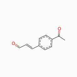 CC(=O)c1ccc(/C=C/C=O)cc1